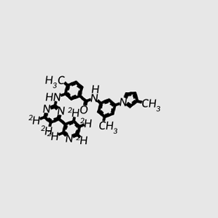 [2H]c1nc(Nc2cc(C(=O)Nc3cc(C)cc(-n4ccc(C)c4)c3)ccc2C)nc(-c2c([2H])nc([2H])c([2H])c2[2H])c1[2H]